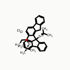 CCC(O[Si](C)(C)C)c1ccc2c(c1[C]1([Zr+2]=[C](C)C)c3ccccc3-c3ccccc31)Cc1ccccc1-2.[Cl-].[Cl-]